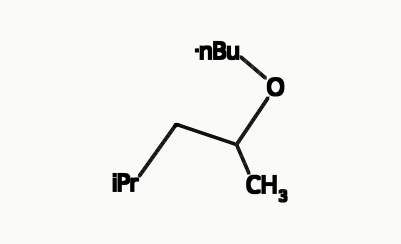 CCC[CH]OC(C)CC(C)C